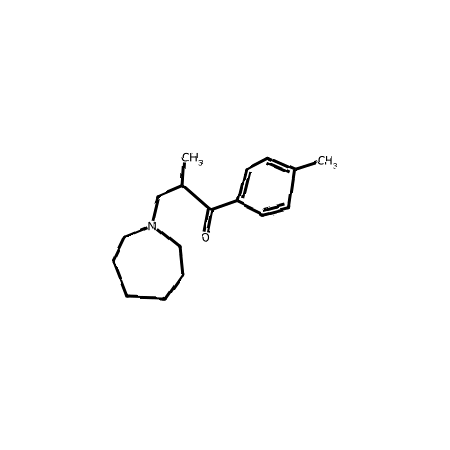 Cc1ccc(C(=O)C(C)CN2CCCCCC2)cc1